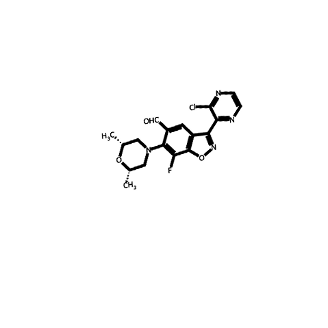 C[C@@H]1CN(c2c(C=O)cc3c(-c4nccnc4Cl)noc3c2F)C[C@H](C)O1